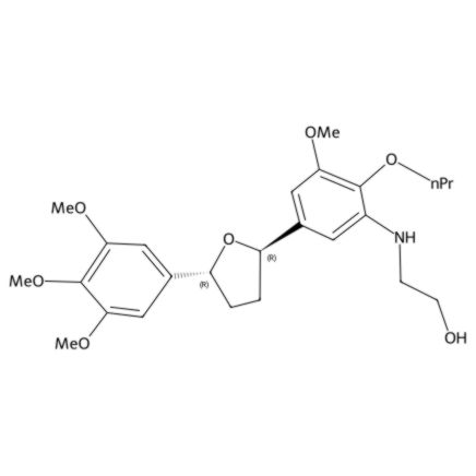 CCCOc1c(NCCO)cc([C@H]2CC[C@H](c3cc(OC)c(OC)c(OC)c3)O2)cc1OC